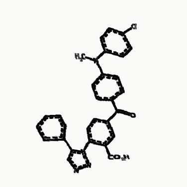 CN(c1ccc(Cl)cc1)c1ccc(C(=O)c2ccc(-n3nncc3-c3ccccc3)c(C(=O)O)c2)cc1